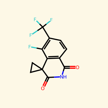 O=C1NC(=O)C2(CC2)c2c1ccc(C(F)(F)F)c2F